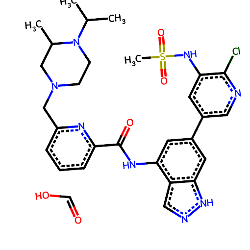 CC(C)N1CCN(Cc2cccc(C(=O)Nc3cc(-c4cnc(Cl)c(NS(C)(=O)=O)c4)cc4[nH]ncc34)n2)CC1C.O=CO